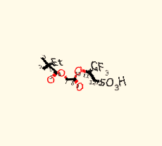 CCC(C)(C)C(=O)OCC(=O)OC(CS(=O)(=O)O)C(F)(F)F